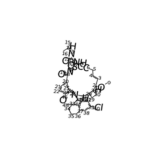 CO[C@H]1/C=C/CCCS(=O)(NC(=O)NC(C)C)=NC(=O)c2ccc3c(c2)N(C[C@@H]2CC[C@H]21)C[C@@]1(CCCc2cc(Cl)ccc21)CO3